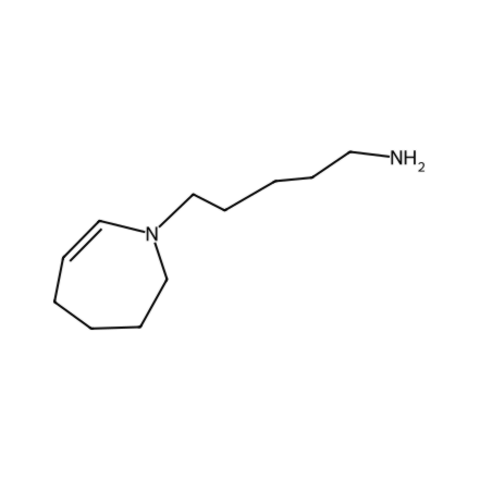 NCCCCCN1C=CCCCC1